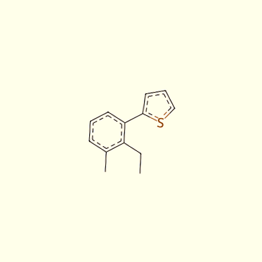 CCc1c(C)cccc1-c1cccs1